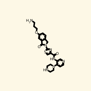 NCCCOc1ccc2c(c1)C(=O)N(c1nc(C(=O)Nc3cnccc3N3CCNCC3)cs1)C2